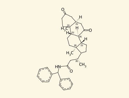 C[C@H](CC(=O)NC(c1ccccc1)c1ccccc1)C1CC[C@H]2[C@@H]3C(=O)C[C@@H]4CC(=O)CC[C@]4(C)[C@H]3CC[C@]12C